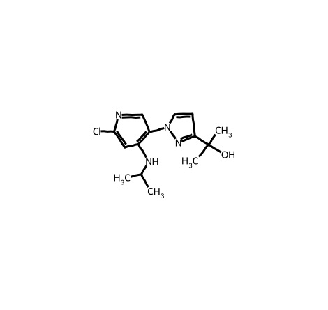 CC(C)Nc1cc(Cl)ncc1-n1ccc(C(C)(C)O)n1